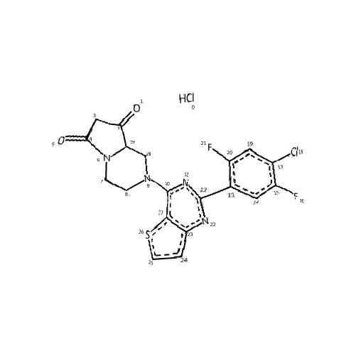 Cl.O=C1CC(=O)N2CCN(c3nc(-c4cc(F)c(Cl)cc4F)nc4ccsc34)CC12